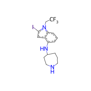 FC(F)(F)Cn1c(I)cc2c(NC3CCCNCC3)cccc21